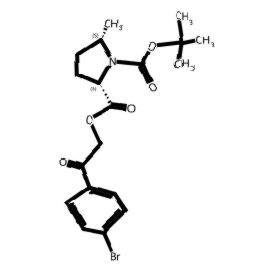 C[C@H]1CC[C@@H](C(=O)OCC(=O)c2ccc(Br)cc2)N1C(=O)OC(C)(C)C